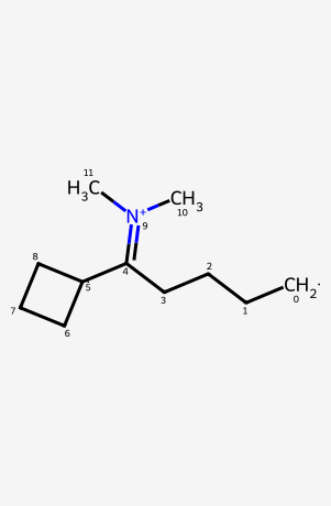 [CH2]CCCC([C]1CCC1)=[N+](C)C